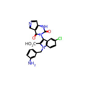 Nc1cccc(Cn2c(C(=O)O)c(-n3c(=O)[nH]c4ccncc4c3=O)c3cc(Cl)ccc32)c1